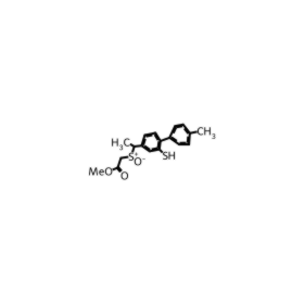 COC(=O)C[S+]([O-])C(C)c1ccc(-c2ccc(C)cc2)c(S)c1